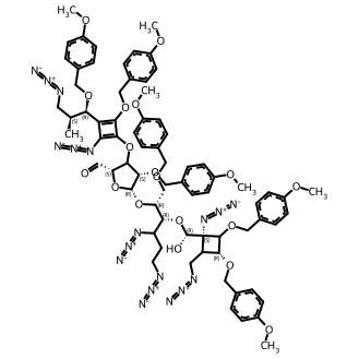 COc1ccc(COC[C@@H](O[C@@H]2O[C@H](C=O)C(OC3=C(N=[N+]=[N-])C([C@H](OCc4ccc(OC)cc4)[C@@H](C)CN=[N+]=[N-])=C3OCc3ccc(OC)cc3)[C@@H]2OCc2ccc(OC)cc2)[C@H](O[C@@H](O)[C@]2(N=[N+]=[N-])C(CN=[N+]=[N-])[C@@H](OCc3ccc(OC)cc3)C2OCc2ccc(OC)cc2)C(CCN=[N+]=[N-])N=[N+]=[N-])cc1